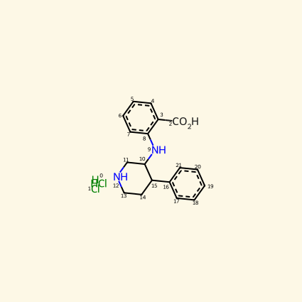 Cl.Cl.O=C(O)c1ccccc1NC1CNCCC1c1ccccc1